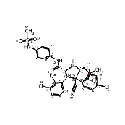 CC(C)(C)C[C@@H]1N[C@@H](C(=O)Nc2ccc(NS(C)(=O)=O)cc2)[C@H](c2cccc(Cl)c2F)[C@@]1(C#N)c1ccc(Cl)cc1F